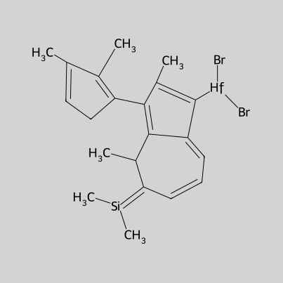 CC1=CCC(C2=C3C(=CC=CC(=[Si](C)C)C3C)[C]([Hf]([Br])[Br])=C2C)=C1C